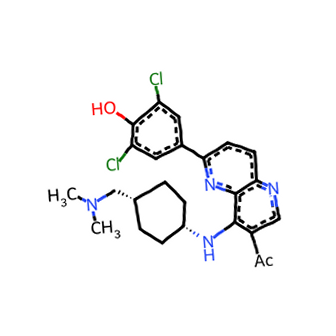 CC(=O)c1cnc2ccc(-c3cc(Cl)c(O)c(Cl)c3)nc2c1N[C@H]1CC[C@@H](CN(C)C)CC1